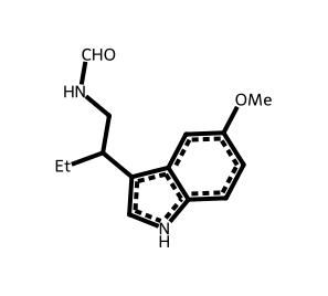 CCC(CNC=O)c1c[nH]c2ccc(OC)cc12